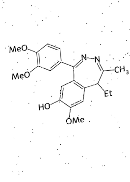 CCC1C(C)=NN=C(c2ccc(OC)c(OC)c2)c2cc(O)c(OC)cc21